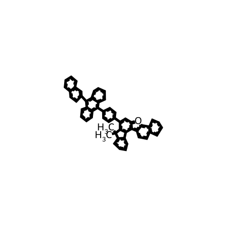 CC1(C)c2ccccc2-c2c1c(-c1ccc(-c3c4ccccc4c(-c4ccc5ccccc5c4)c4ccccc34)cc1)cc1oc3c4ccccc4ccc3c21